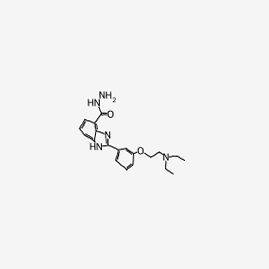 CCN(CC)CCOc1cccc(-c2nc3c(C(=O)NN)cccc3[nH]2)c1